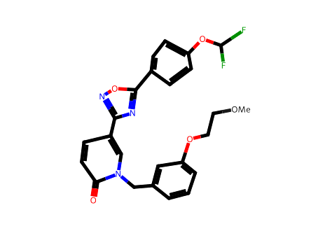 COCCOc1cccc(Cn2cc(-c3noc(-c4ccc(OC(F)F)cc4)n3)ccc2=O)c1